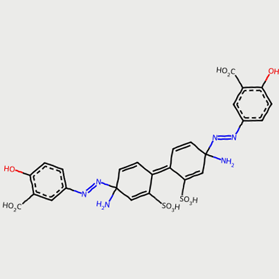 NC1(/N=N/c2ccc(O)c(C(=O)O)c2)C=C/C(=C2\C=CC(N)(/N=N/c3ccc(O)c(C(=O)O)c3)C=C2S(=O)(=O)O)C(S(=O)(=O)O)=C1